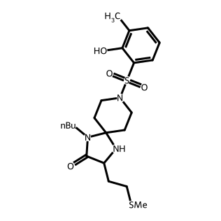 CCCCN1C(=O)C(CCSC)NC12CCN(S(=O)(=O)c1cccc(C)c1O)CC2